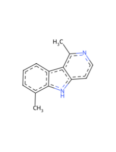 Cc1cccc2c1[nH]c1ccnc(C)c12